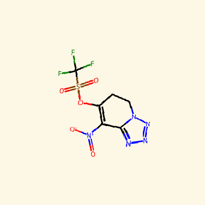 O=[N+]([O-])C1=C(OS(=O)(=O)C(F)(F)F)CCn2nnnc21